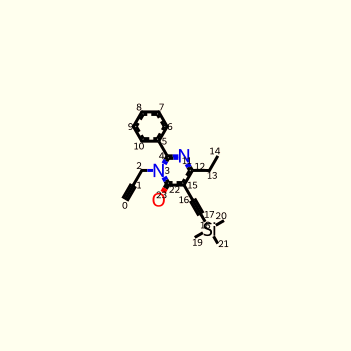 C#CCn1c(-c2ccccc2)nc(CC)c(C#C[Si](C)(C)C)c1=O